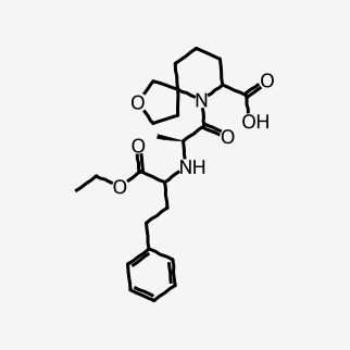 CCOC(=O)C(CCc1ccccc1)N[C@@H](C)C(=O)N1C(C(=O)O)CCCC12CCOC2